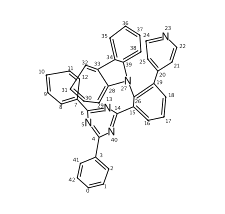 c1ccc(-c2nc(-c3ccccc3)nc(-c3cccc(-c4ccncc4)c3-n3c4ccccc4c4ccccc43)n2)cc1